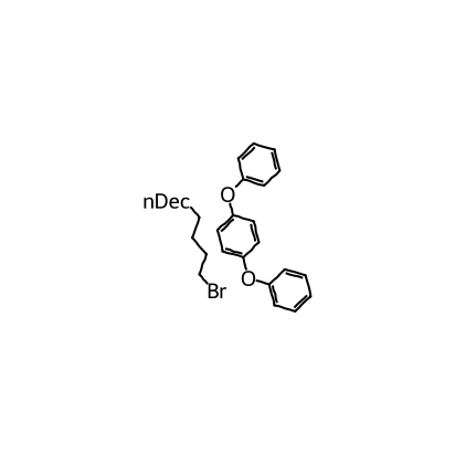 CCCCCCCCCCCCCCBr.c1ccc(Oc2ccc(Oc3ccccc3)cc2)cc1